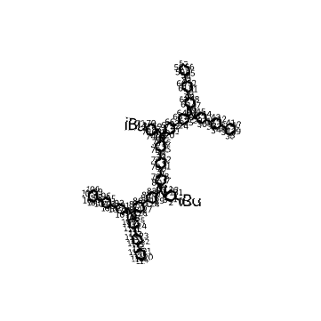 CCC(C)c1ccc(N(c2ccc(-c3ccc(-c4ccc(N(c5ccc(-c6ccc(N(c7ccc(-c8ccc(-c9ccccc9)cc8)cc7)c7ccc(-c8ccc(-c9ccccc9)cc8)cc7)cc6)cc5)c5ccc(C(C)CC)cc5)cc4)cc3)cc2)c2ccc(-c3ccc(N(c4ccc(-c5ccc(-c6ccccc6)cc5)cc4)c4ccc(-c5ccc(-c6ccccc6)cc5)cc4)cc3)cc2)cc1